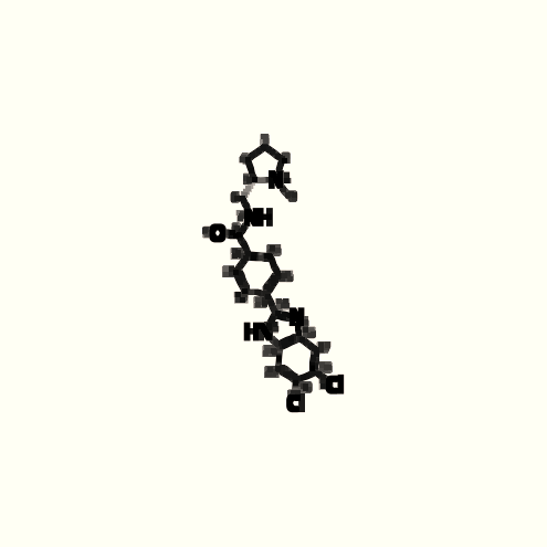 CN1CCC[C@H]1CNC(=O)c1ccc(-c2nc3cc(Cl)c(Cl)cc3[nH]2)cc1